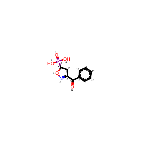 O=C(C1=NOC(P(=O)(O)O)C1)c1ccccc1